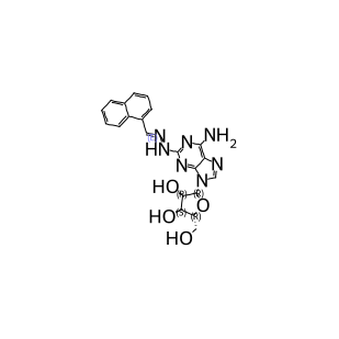 Nc1nc(N/N=C/c2cccc3ccccc23)nc2c1ncn2[C@@H]1O[C@H](CO)[C@@H](O)[C@H]1O